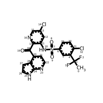 CC(F)(F)c1cc(S(=O)(=O)Nc2cc(Cl)cnc2C(=O)c2ccnc3[nH]ccc23)ccc1Cl